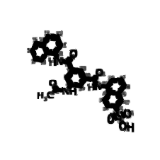 CC(=O)Nc1cc(C(=O)Nc2cccc3ccccc23)cc(C(=O)Nc2cccc3cc(S(=O)(=O)O)ccc23)c1